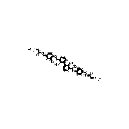 Cc1c(COc2ccc(CNC(=O)CC(=O)O)cc2Br)cccc1-c1cccc(COc2ccc(CNC(=O)CC(=O)O)cc2Br)c1C